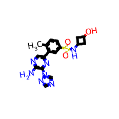 Cc1ccc(S(=O)(=O)NC2CC(O)C2)cc1-c1cnc(N)c(-n2cncn2)n1